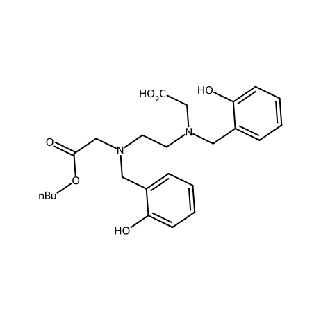 CCCCOC(=O)CN(CCN(CC(=O)O)Cc1ccccc1O)Cc1ccccc1O